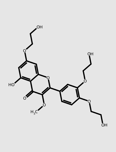 COc1c(-c2ccc(OCCO)c(OCCO)c2)oc2cc(OCCO)cc(O)c2c1=O